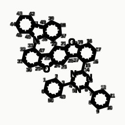 c1ccc(-c2nc(-c3ccccc3)nc(-c3cccc4oc5cc6c(cc5c34)oc3cccc(-n4c5ccccc5c5ccccc54)c36)n2)cc1